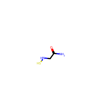 NC(=O)CNS